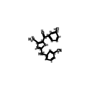 N#Cc1cccc(Nc2nc(N)c(C(=O)c3cccc(Cl)c3)s2)c1